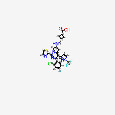 O=C(O)[C@H]1C[C@H](CN[C@H]2CC3=C(c4ccn(C(F)F)n4)[C@H](c4ccc(F)cc4Cl)N=C(c4nccs4)N3C2)C1